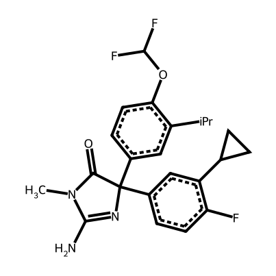 CC(C)c1cc(C2(c3ccc(F)c(C4CC4)c3)N=C(N)N(C)C2=O)ccc1OC(F)F